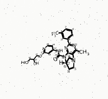 Cc1nc(-c2cccc(C(F)(F)F)c2)nc2c1N1CC[C@@H](C1)N2C(=O)Nc1ccnc(OCC(O)CO)c1